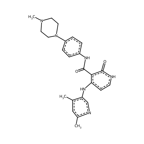 Cc1cc(C)c(Nc2cc[nH]c(=O)c2C(=O)Nc2ccc(N3CCN(C)CC3)cc2)cn1